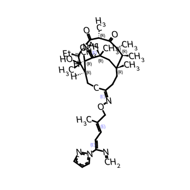 C=N/C(=C\C=C(/C)CO/N=C1\CC[C@@H]2[C@@H](C)/C(=N/C(C)=O)[C@H](C)C[C@@](C)(CC1)[C@H](C)[C@@H](C)C(=O)[C@@H](C)C(=O)O[C@H](CC)[C@@]2(C)O)n1cccn1